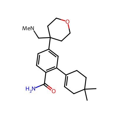 CNCC1(c2ccc(C(N)=O)c(C3=CCC(C)(C)CC3)c2)CCOCC1